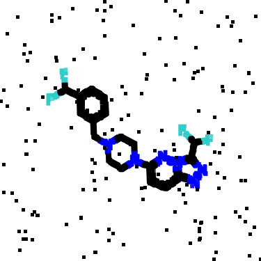 FC(F)c1cccc(CN2CCN(c3ccc4nnc(C(F)F)n4n3)CC2)c1